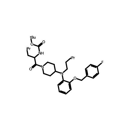 CC(C)CCN(c1ccccc1OCc1ccc(F)cc1)C1CCN(C(=O)C(CC(C)C)NC(=O)OC(C)(C)C)CC1